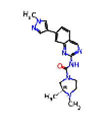 C[C@@H]1CN(C(=O)Nc2ncc3ccc(-c4cnn(C)c4)cc3n2)CCN1C